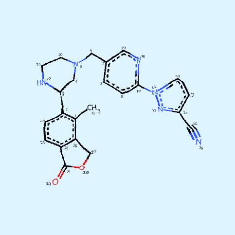 Cc1c([C@@H]2CN(Cc3ccc(-n4ccc(C#N)n4)nc3)CCN2)ccc2c1COC2=O